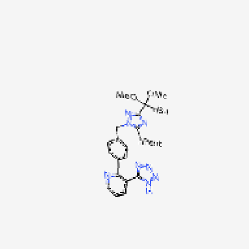 CCCCCc1nc(C(CCCC)(OC)OC)nn1Cc1ccc(-c2ncccc2-c2nnn[nH]2)cc1